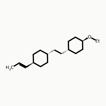 CC=C[C@H]1CC[C@H](CC[C@H]2CC[C@H](OCC)CC2)CC1